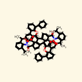 CC(C)c1cccc(C(C)C)c1N1C(=O)c2ccc3c4c(Oc5c(-c6ccccc6)cccc5-c5ccccc5)cc5c6c(ccc(c7c(Oc8c(-c9ccccc9)cccc8-c8ccccc8)cc(c2c37)C1=O)c64)C(=O)N(c1c(C(C)C)cccc1C(C)C)C5=O